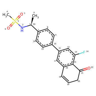 C[C@H](NS(C)(=O)=O)c1ccc(-c2cc(F)c3c(c2)C=CCC3=O)cc1